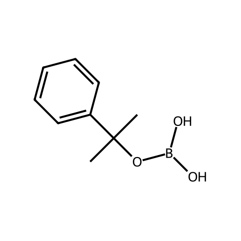 CC(C)(OB(O)O)c1ccccc1